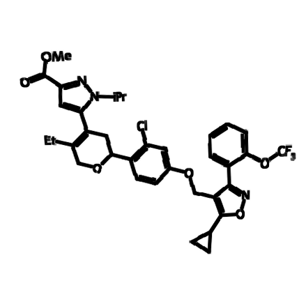 CCC1=C(c2cc(C(=O)OC)nn2C(C)C)CC(c2ccc(OCc3c(-c4ccccc4OC(F)(F)F)noc3C3CC3)cc2Cl)OC1